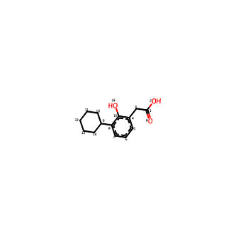 O=C(O)Cc1cccc(C2CCCCC2)c1O